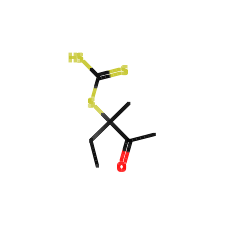 CCC(C)(SC(=S)S)C(C)=O